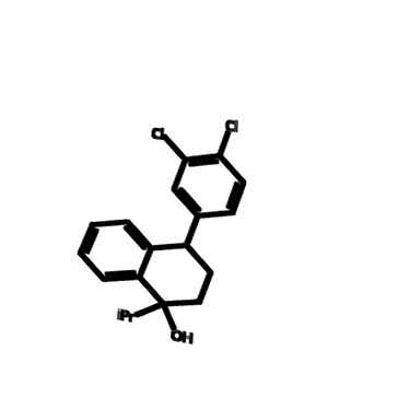 CC(C)C1(O)CCC(c2ccc(Cl)c(Cl)c2)c2ccccc21